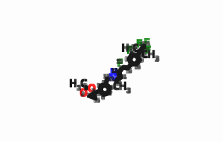 CC(=O)OC1(c2cccc(Cn3nc(C(F)=Cc4ccc(C(C)(C)C(F)(F)F)c(F)c4)cc3C)c2)CC1